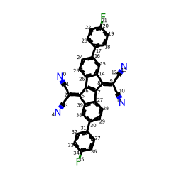 N#CC(C#N)=C1C2=C(C(=C(C#N)C#N)c3cc(-c4ccc(F)cc4)ccc32)c2ccc(-c3ccc(F)cc3)cc21